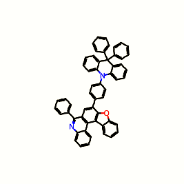 c1ccc(-c2nc3ccccc3c3c2cc(-c2ccc(N4c5ccccc5C(c5ccccc5)(c5ccccc5)c5ccccc54)cc2)c2oc4ccccc4c23)cc1